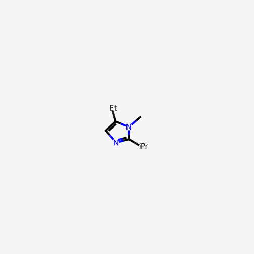 CCc1cnc(C(C)C)n1C